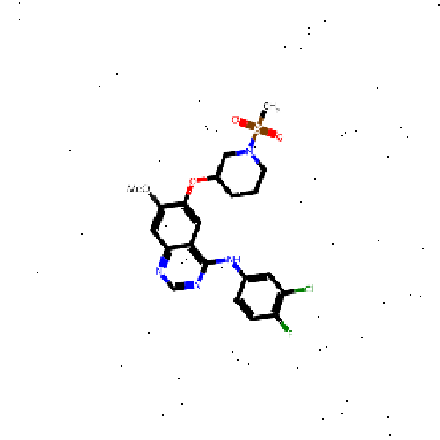 COc1cc2ncnc(Nc3ccc(F)c(Cl)c3)c2cc1OC1CCCN(S(C)(=O)=O)C1